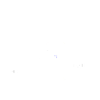 CC1CCC(C(=O)N(c2sc(-c3ccccc3)cc2C(=O)O)C2CCCSC2)CC1